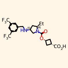 CC[C@@H]1C[C@H](NCc2cc(C(F)(F)F)cc(C(F)(F)F)c2)CN1C(=O)O[C@H]1C[C@@H](C(=O)O)C1